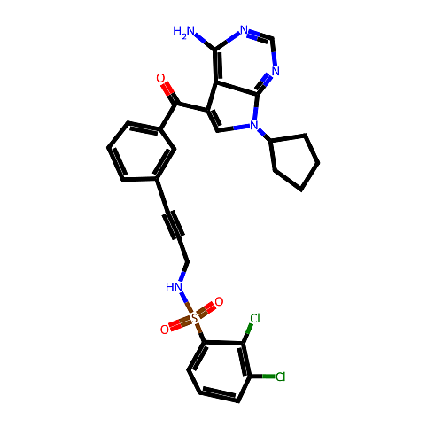 Nc1ncnc2c1c(C(=O)c1cccc(C#CCNS(=O)(=O)c3cccc(Cl)c3Cl)c1)cn2C1CCCC1